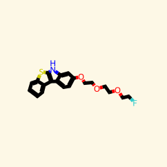 FCCOCCOCCOc1ccc2c(c1)[nH]c1sc3ccccc3c12